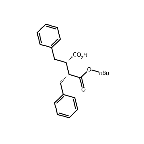 CCCCOC(=O)[C@H](Cc1ccccc1)[C@H](Cc1ccccc1)C(=O)O